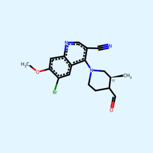 COc1cc2ncc(C#N)c(N3CCC(C=O)[C@H](C)C3)c2cc1Br